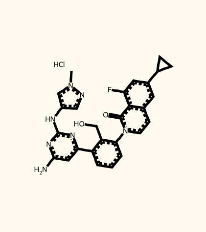 Cl.Cn1cc(Nc2nc(N)cc(-c3cccc(-n4ccc5cc(C6CC6)cc(F)c5c4=O)c3CO)n2)cn1